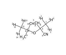 [2H]C([2H])([2H])C(C)(C#N)O[Si](C)(C)C([2H])([2H])[2H]